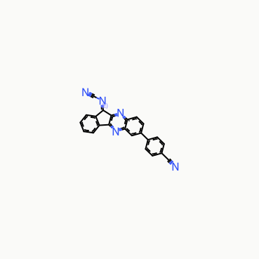 N#C/N=C1\c2ccccc2-c2nc3cc(-c4ccc(C#N)cc4)ccc3nc21